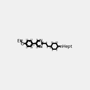 CCCCCCCC1CCC(CCc2ncc(-c3ccc(OCC)cc3)cn2)CC1